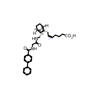 O=C(O)CCC/C=C\C[C@@H]1[C@H](CNC(=O)CNC(=O)c2ccc(-c3ccccc3)cc2)[C@@H]2CC[C@H]1O2